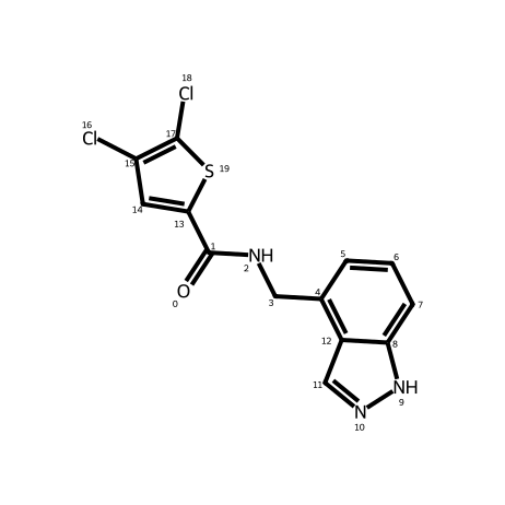 O=C(NCc1cccc2[nH]ncc12)c1cc(Cl)c(Cl)s1